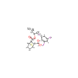 O=C(Oc1c(I)cc(I)cc1I)C1C2CCC(S2)C1C(=O)OC(CS(=O)(=O)O)C(F)(F)F